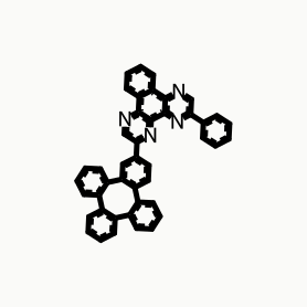 c1ccc(-c2cnc3c4ccccc4c4ncc(-c5ccc6c(c5)-c5ccccc5-c5ccccc5-c5ccccc5-6)nc4c3n2)cc1